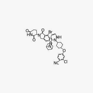 N#Cc1ccc(OC2CCC(N3NC=CC=C3N3CC4CC(C3)N4Cc3cc(Br)c4c(c3)CN(C3CCC(=O)NC3=O)C4=O)CC2)cc1Cl